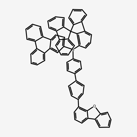 c1ccc2c(c1)-c1ccccc1C21c2ccccc2-c2cccc(N(c3ccc(-c4ccc(-c5cccc6c5oc5ccccc56)cc4)cc3)c3ccc4c5ccccc5c5ccccc5c4c3)c21